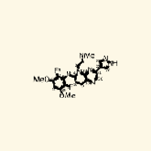 CNCCn1/c(=N/c2c(F)c(OC)cc(OC)c2F)ccc2ncc(-c3cn[nH]c3)nc21